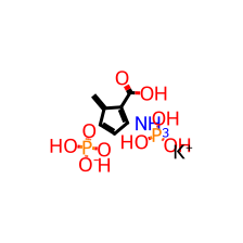 C=C1C=CC=C1C(=O)O.N.O=P([O-])(O)O.OP(O)O.[K+]